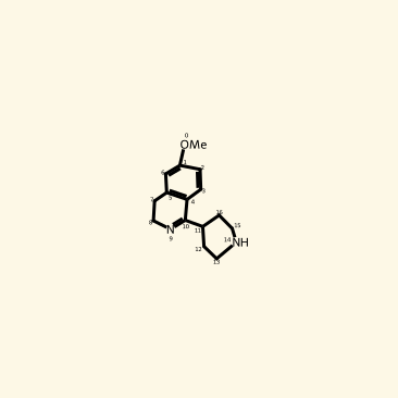 COc1ccc2c(c1)CCN=C2C1CCNCC1